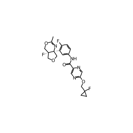 CC1=N[C@@]2(c3cc(NC(=O)c4cnc(OCC5(F)CC5)cn4)ccc3F)COC[C@@]2(F)CO1